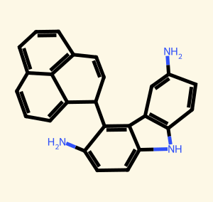 Nc1ccc2[nH]c3ccc(N)c(C4C=Cc5cccc6cccc4c56)c3c2c1